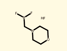 F.FB(F)CN1CCOCC1